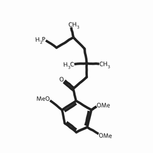 COc1ccc(OC)c(C(=O)CC(C)(C)CC(C)CP)c1OC